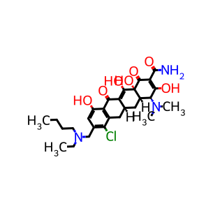 CCCCN(CC)Cc1cc(O)c2c(c1Cl)C[C@H]1C[C@H]3[C@H](N(C)C)C(O)=C(C(N)=O)C(=O)[C@@]3(O)C(O)=C1C2=O